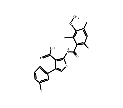 COc1c(I)cc(I)c(C(=O)Nc2scc(-c3cccc(I)c3)c2C(=O)O)c1I